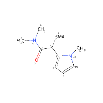 CSC(C(=O)N(C)C)c1cccn1C